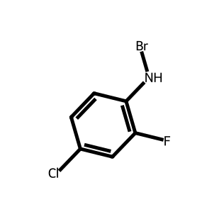 Fc1cc(Cl)ccc1NBr